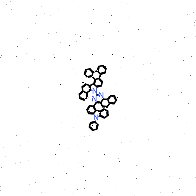 c1ccc(-n2c3ccccc3c3c(-c4nc(-n5c6ccc7c8ccccc8c8ccccc8c7c6c6ccc7ccccc7c65)nc5c4ccc4ccccc45)cccc32)cc1